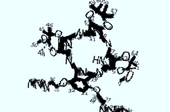 CO[C@]1(C)Oc2c(c3nc4nc(nc5[nH]c(nc6nc(nc2[nH]3)-c2c(OCCN=[N+]=[N-])ccc(OCCN=[N+]=[N-])c2-6)c2c5OC(C)(C)[C@](C)(OC)O2)C2=C4OC(C)(C)C(C)(C)O2)OC1(C)C